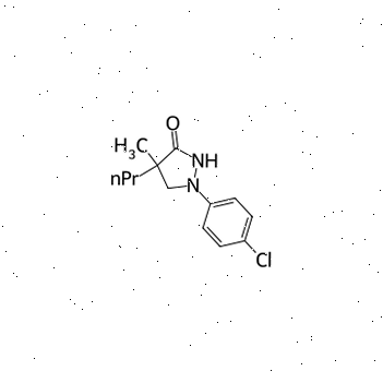 CCCC1(C)CN(c2ccc(Cl)cc2)NC1=O